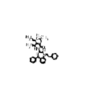 C=CC[C@H](C(N)=O)[C@@H](CC(C)C)C(=O)NC1N=C(c2ccccc2)c2ccccc2N(CCC2CCCCC2)C1=O